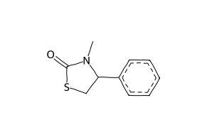 CN1C(=O)SCC1c1ccccc1